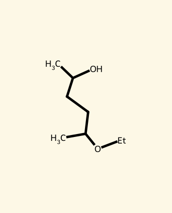 CCOC(C)CCC(C)O